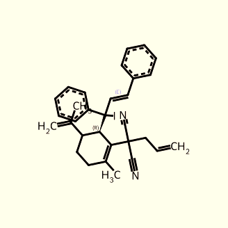 C=CCC(C#N)(C#N)C1=C(C)CCC(C(=C)C)[C@H]1C(I)(/C=C/c1ccccc1)c1ccccc1